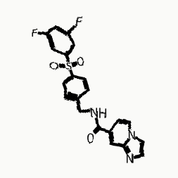 O=C(NCc1ccc(S(=O)(=O)c2cc(F)cc(F)c2)cc1)c1ccn2ccnc2c1